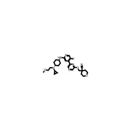 COCCN(C1CC1)[C@H]1CC[C@H](Nc2cc(-c3cncc(OCC4(C#N)CCOCC4)n3)c(F)cn2)CC1